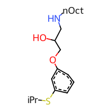 CCCCCCCCNCC(O)COc1cccc(SC(C)C)c1